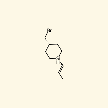 CC=C[Si@H]1CC[C@H](CBr)CC1